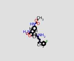 C=C\C(=C/C=C(N)/C=C/[C@H]1[C@@H]2CC[C@@H](NC(=O)OCC)C[C@H]2C[C@@]2(N)C(=O)O[C@H](C)[C@@H]12)c1cccc(F)c1